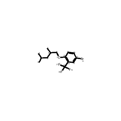 CC(C)CC(C)COc1ccc(Br)cc1C(F)(F)F